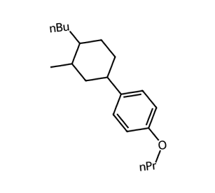 CCCCC1CCC(c2ccc(OCCC)cc2)CC1C